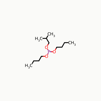 CCCCOP(OCCCC)OCC(C)C